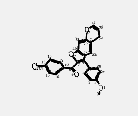 COc1ccc(-c2c(C(=O)c3ccc(Cl)cc3)oc3cc4c(cc23)CC=CO4)cc1